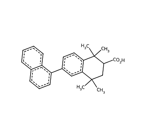 CC1(C)CC(C(=O)O)C(C)(C)c2ccc(-c3cccc4ccccc34)cc21